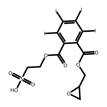 O=C(OCCS(=O)(=O)O)c1c(I)c(I)c(I)c(I)c1C(=O)OCC1CO1